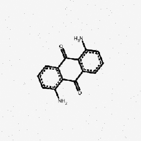 Nc1cccc2c1C(=O)c1cccc(N)c1C2=O